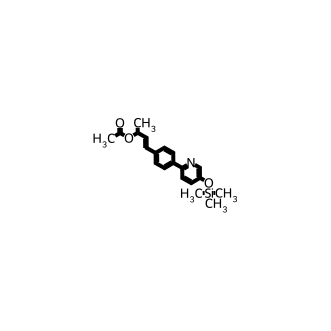 CC(=O)OC(C)/C=C/c1ccc(-c2ccc(O[Si](C)(C)C)cn2)cc1